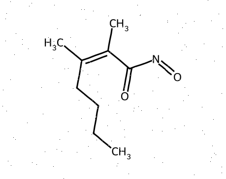 CCCCC(C)=C(C)C(=O)N=O